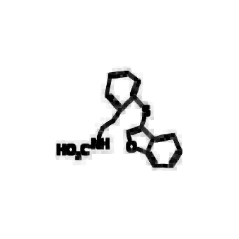 O=C(O)NCCc1ccccc1Sc1coc2ccccc12